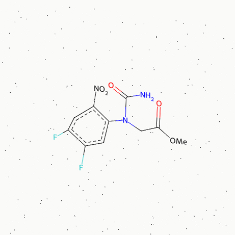 COC(=O)CN(C(N)=O)c1cc(F)c(F)cc1[N+](=O)[O-]